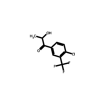 CC(O)C(=O)c1ccc(Cl)c(C(F)(F)F)c1